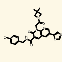 CC1(C)CN(C(=O)Cn2c(=O)c(C(=O)NCc3ccc(Cl)cc3)cc3cc(-c4cnco4)cnc32)C1